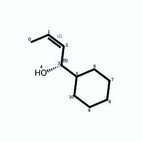 C/C=C\[C@@H](O)C1CCCCC1